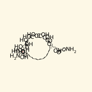 CC1/C=C/C=C/C=C\C=C/C=C/C=C/C=C/C(OC2O[C@H](C)[C@@H](O)[C@H](N)[C@H]2O)C[C@@H]2OC(O)(CC(O)CC(O)CC(O)CCCC(O)CC(O)CC(=O)OC1C(C)CCC(O)CC(=O)c1ccc(N)cc1)CC(O)C2C(=O)O